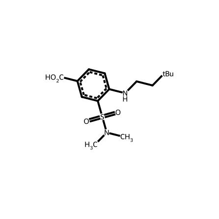 CN(C)S(=O)(=O)c1cc(C(=O)O)ccc1NCCC(C)(C)C